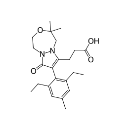 CCc1cc(C)cc(CC)c1-c1c(CCC(=O)O)n2n(c1=O)CCOC(C)(C)C2